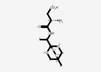 CC(NC(=O)[C@@H](N)CC(=O)O)C12OCC(C)(CO1)CO2